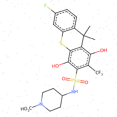 CC1(C)c2ccc(F)cc2Sc2c(O)c(S(=O)(=O)NC3CCN(C(=O)O)CC3)c(C(F)(F)F)c(O)c21